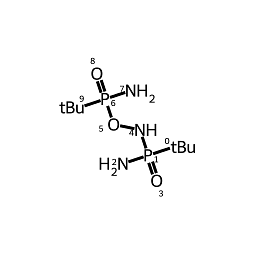 CC(C)(C)P(N)(=O)NOP(N)(=O)C(C)(C)C